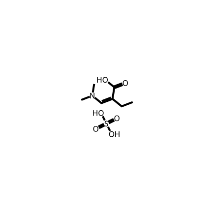 CCC(=CN(C)C)C(=O)O.O=S(=O)(O)O